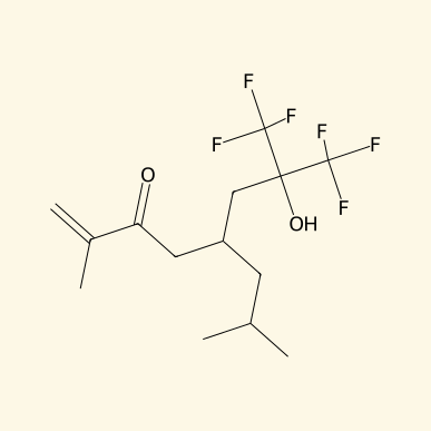 C=C(C)C(=O)CC(CC(C)C)CC(O)(C(F)(F)F)C(F)(F)F